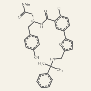 CNC(=O)C[C@@H](Cc1ccc(C#N)cc1)NC(=O)c1cc(-c2ccc(CNC(C)(C)c3ccccc3)o2)ccc1Cl